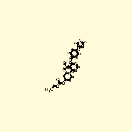 CCOC(=O)OC1CCN(c2ncnc(Oc3ccc(-n4cncn4)cc3)c2[N+](=O)[O-])CC1